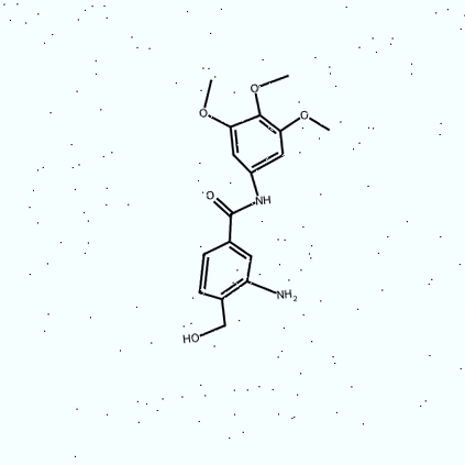 COc1cc(NC(=O)c2ccc(CO)c(N)c2)cc(OC)c1OC